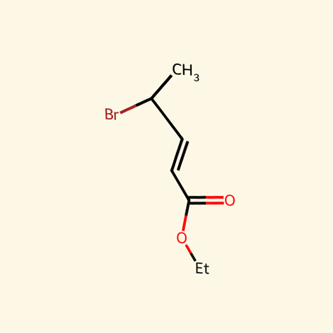 CCOC(=O)C=CC(C)Br